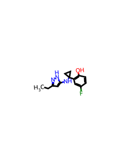 CCc1cc(NC2(c3cc(F)ccc3O)CC2)[nH]n1